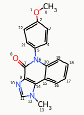 COc1ccc(-n2c(=O)c3ncn(C)c3c3ccccc32)cc1